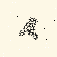 c1ccc(-c2cccc(-n3c4ccc5c6ccccc6oc5c4c4ccc5c(c6ccccc6n5-c5cccc6ccccc56)c43)c2)cc1